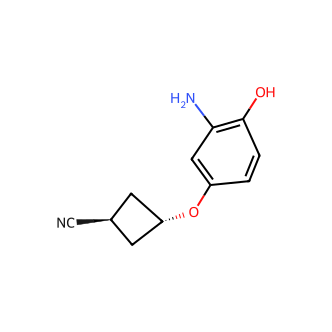 N#C[C@H]1C[C@H](Oc2ccc(O)c(N)c2)C1